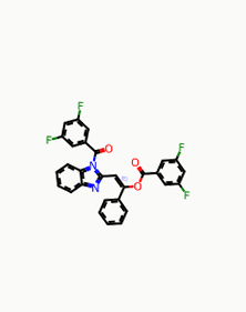 O=C(O/C(=C/c1nc2ccccc2n1C(=O)c1cc(F)cc(F)c1)c1ccccc1)c1cc(F)cc(F)c1